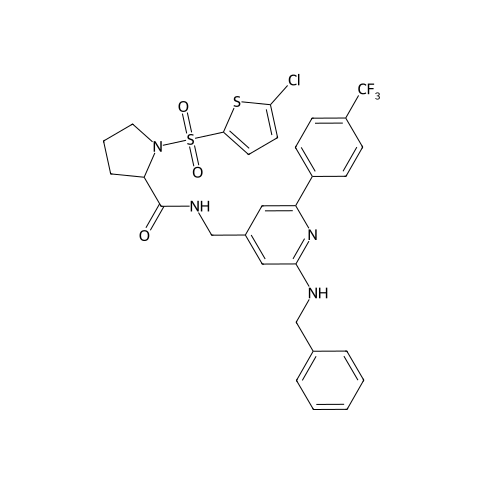 O=C(NCc1cc(NCc2ccccc2)nc(-c2ccc(C(F)(F)F)cc2)c1)C1CCCN1S(=O)(=O)c1ccc(Cl)s1